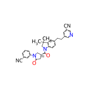 CC1(C)CN(C(=O)[C@H]2CC(=O)N(c3cccc(C#N)c3)C2)c2ccc(CCc3cncc(C#N)c3)cc21